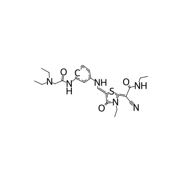 CCNC(=O)C(C#N)=c1sc(=CNc2cccc(NC(=O)CN(CC)CC)c2)c(=O)n1CC